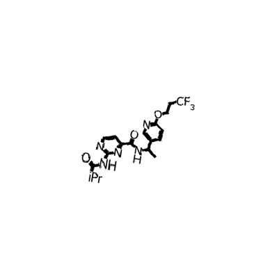 CC(C)C(=O)Nc1nccc(C(=O)NC(C)c2ccc(OCCC(F)(F)F)nc2)n1